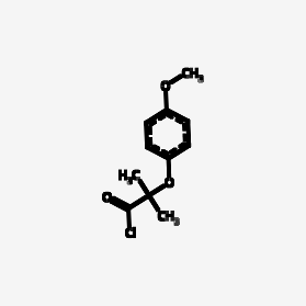 COc1ccc(OC(C)(C)C(=O)Cl)cc1